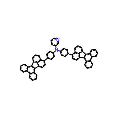 c1cncc(N(c2ccc(-c3ccc4c5c(cccc35)-c3c-4c4ccccc4c4ccccc34)cc2)c2ccc(-c3ccc4c5c(cccc35)-c3c-4c4ccccc4c4ccccc34)cc2)c1